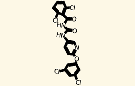 O=C(NC(=O)c1c(Cl)cccc1Cl)Nc1ccc(Oc2cc(Cl)cc(Cl)c2)nc1